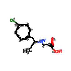 CC(NCC(=O)O)c1ccc(Cl)cc1